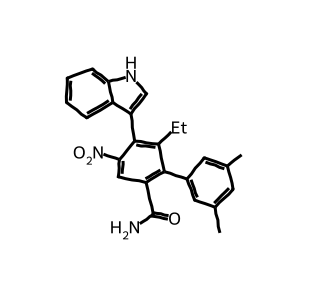 CCc1c(-c2cc(C)cc(C)c2)c(C(N)=O)cc([N+](=O)[O-])c1-c1c[nH]c2ccccc12